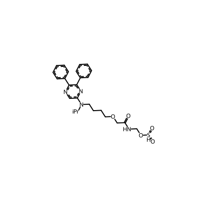 CC(C)N(CCCCOCC(=O)NCO[SH](=O)=O)c1cnc(-c2ccccc2)c(-c2ccccc2)n1